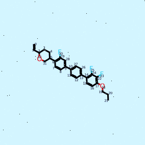 C=CC1CCC(c2ccc(-c3ccc(-c4ccc(OCCC)c(F)c4F)cc3)cc2F)CO1